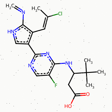 C=Nc1[nH]cc(-c2ncc(F)c(NC(CC(=O)O)C(C)(C)C)n2)c1/C=C(\C)Cl